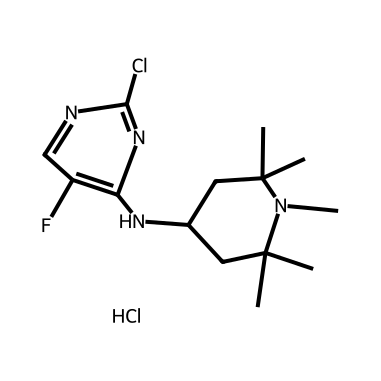 CN1C(C)(C)CC(Nc2nc(Cl)ncc2F)CC1(C)C.Cl